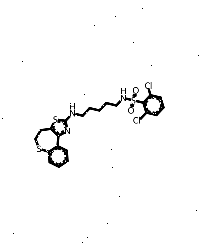 O=S(=O)(NCCCCCNc1nc2c(s1)CCSc1ccccc1-2)c1c(Cl)cccc1Cl